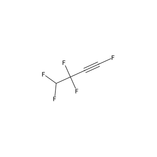 FC#CC(F)(F)C(F)F